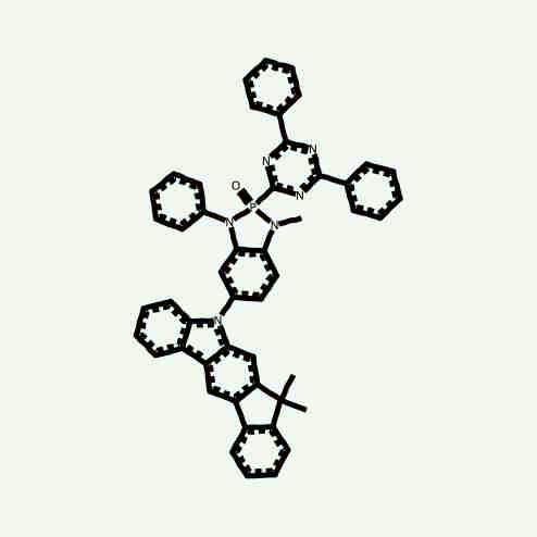 CN1c2ccc(-n3c4ccccc4c4cc5c(cc43)C(C)(C)c3ccccc3-5)cc2N(c2ccccc2)P1(=O)c1nc(-c2ccccc2)nc(-c2ccccc2)n1